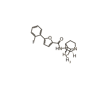 C[C@H]1[C@H](NC(=O)c2ccc(-c3ccccc3F)o2)C2CCN1CC2